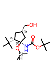 C[SiH](C)O[C@]1(NC(=O)OC(C)(C)C)C[C@@H](CO)C[C@H]1C(C)(C)C